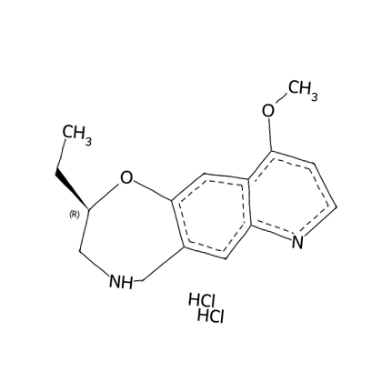 CC[C@@H]1CNCc2cc3nccc(OC)c3cc2O1.Cl.Cl